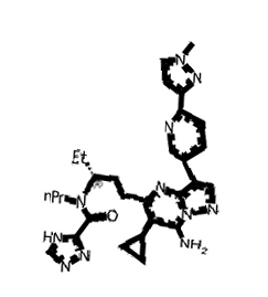 CCCN(C(=O)c1nnc[nH]1)[C@H](CC)CCc1nc2c(-c3ccc(-c4ccn(C)n4)nc3)cnn2c(N)c1C1CC1